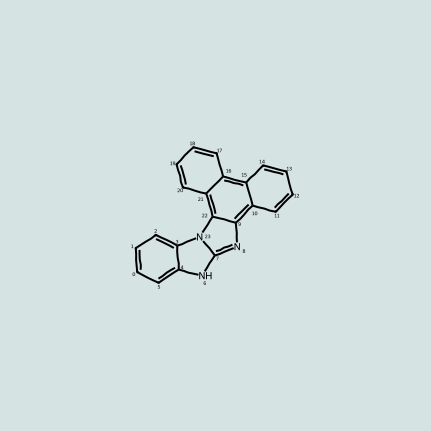 c1ccc2c(c1)[nH]c1nc3c4ccccc4c4ccccc4c3n12